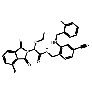 CCO[C@@H](C(=O)NCc1ccc(C#N)cc1NCc1ccccc1F)N1C(=O)c2cccc(F)c2C1=O